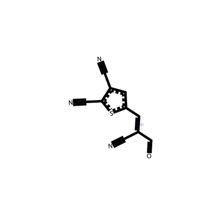 N#C/C(C=O)=C\c1cc(C#N)c(C#N)s1